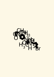 Cc1cc(NC(=O)C(C)(C)NC(=O)c2ccc(Br)s2)ccc1N1C(=O)OCC1(C)C